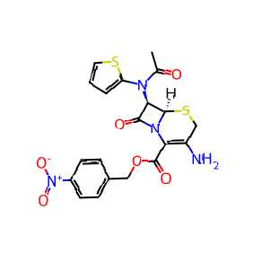 CC(=O)N(c1cccs1)[C@@H]1C(=O)N2C(C(=O)OCc3ccc([N+](=O)[O-])cc3)=C(N)CS[C@H]12